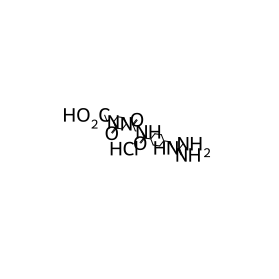 Cl.N=C(N)NCC1CCC(C(=O)NCC(=O)N2CCN(CC(=O)O)C(=O)C2)CC1